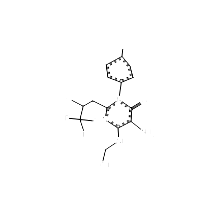 CCNc1nc(CC(C)C(F)(F)F)n(-c2ccc(F)cc2)c(=O)c1N